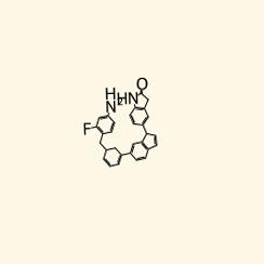 Nc1ccc(CC2C=CC=C(c3ccc4c(c3)C(c3ccc5c(c3)CC(=O)N5)C=C4)C2)c(F)c1